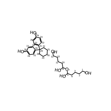 OCCCCC(O)OC(O)CCCCO.Oc1ccc(C2(c3ccc(O)cc3)CCCCC2)cc1